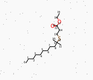 CCCCCCCCCC(C)(C)SCCC(=O)OCC